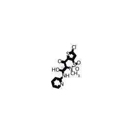 CN1/C(=C(/O)Nc2ccccn2)C(=O)c2sc(Cl)cc2S1(=O)=O